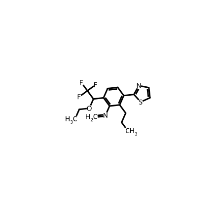 C=Nc1c(C(OCC)C(F)(F)F)ccc(-c2nccs2)c1CCC